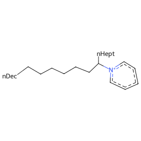 CCCCCCCCCCCCCCCCC(CCCCCCC)[n+]1ccccc1